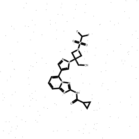 N#CCC1(n2cc(-c3cccc4nc(NC(=O)C5CC5)nn34)cn2)CN(S(=O)(=O)C(F)F)C1